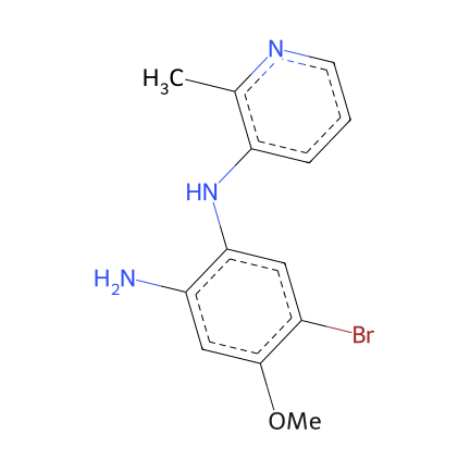 COc1cc(N)c(Nc2cccnc2C)cc1Br